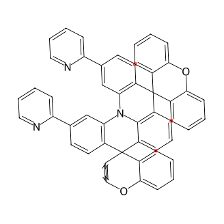 c1ccc(-c2ccc3c(c2)N2c4cc(-c5ccccn5)ccc4C4(c5ccccc5Oc5ccccc54)c4cccc(c42)C32c3ccccc3Oc3ccccc32)nc1